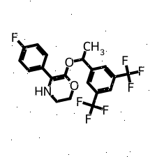 CC(OC1=C(c2ccc(F)cc2)NCCO1)c1cc(C(F)(F)F)cc(C(F)(F)F)c1